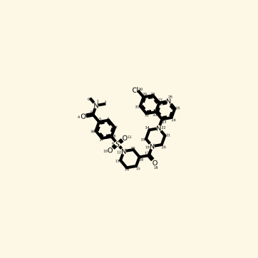 CN(C)C(=O)c1ccc(S(=O)(=O)N2CCCC(C(=O)N3CCN(c4ccnc5cc(Cl)ccc45)CC3)C2)cc1